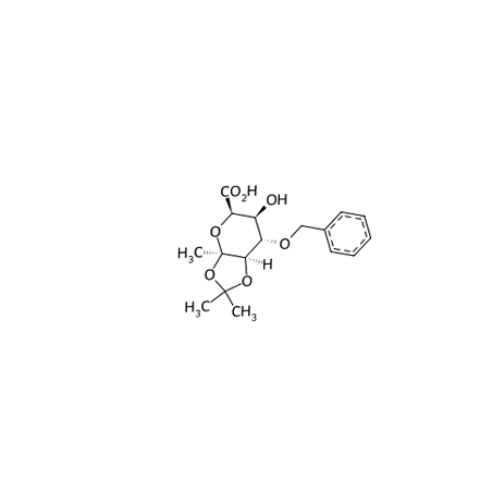 CC1(C)O[C@@H]2[C@@H](OCc3ccccc3)[C@H](O)[C@H](C(=O)O)O[C@]2(C)O1